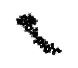 C=CC(=O)Nc1cccc(S(=O)(=O)c2ccc(N3CC(CN4CCC([C@@](CN5CCC5)(c5cccc(F)c5)[C@H]5CCC[C@@H]5N(C)C(=O)OC)CC4)(OC)C3)c(F)c2)c1